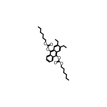 CCCCCCOC(=O)Oc1c2ccccc2c(OC(=O)OCCCCCC)c2cc(CC)c(CC)cc12